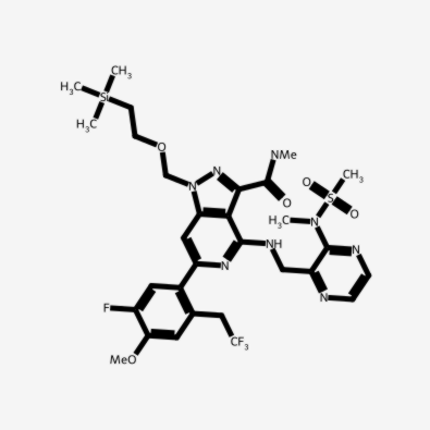 CNC(=O)c1nn(COCC[Si](C)(C)C)c2cc(-c3cc(F)c(OC)cc3CC(F)(F)F)nc(NCc3nccnc3N(C)S(C)(=O)=O)c12